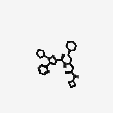 O=C(C[C@H](CCN1CCCCC1)NC(=O)c1cc(-c2ccccn2)n(C2CCCC2)n1)NC1CCC1